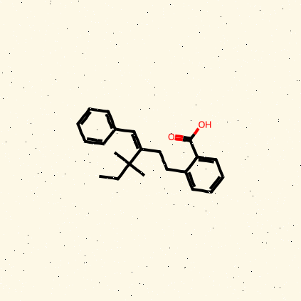 CCC(C)(C)C(=Cc1ccccc1)CCc1ccccc1C(=O)O